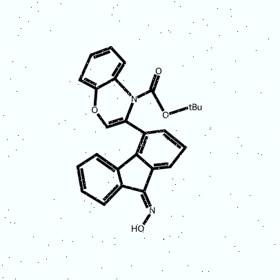 CC(C)(C)OC(=O)N1C(c2cccc3c2-c2ccccc2C3=NO)=COc2ccccc21